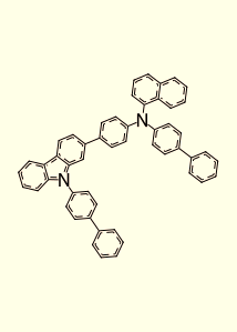 c1ccc(-c2ccc(N(c3ccc(-c4ccc5c6ccccc6n(-c6ccc(-c7ccccc7)cc6)c5c4)cc3)c3cccc4ccccc34)cc2)cc1